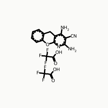 N#Cc1c(N)nc2c(c1N)Cc1ccccc1O2.O=C(O)C(F)(F)F.O=C(O)C(F)(F)F